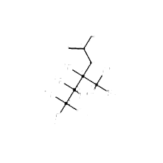 CC(C)CC(F)(C(F)(F)F)C(F)(F)C(F)(F)F